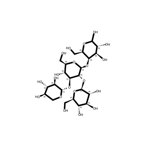 OC[C@H]1O[C@@H](O[C@H]2[C@H](O[C@@H]3[C@H](O)[C@@H](O)C(O)O[C@@H]3CO)O[C@H](CO)[C@@H](O)[C@@H]2O[C@@H]2OC[C@@H](O)[C@H](O)[C@H]2O)[C@H](O)[C@@H](O)[C@@H]1O